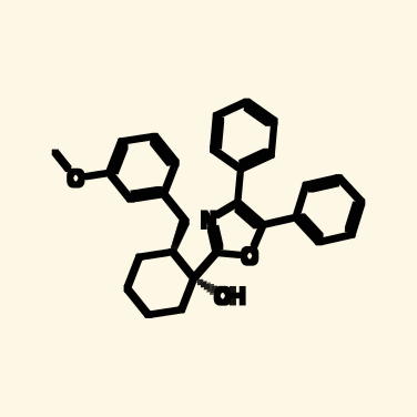 COc1cccc(C[C@@H]2CCCC[C@]2(O)c2nc(-c3ccccc3)c(-c3ccccc3)o2)c1